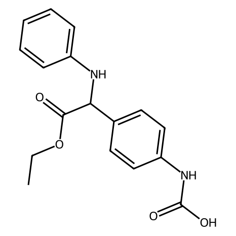 CCOC(=O)C(Nc1ccccc1)c1ccc(NC(=O)O)cc1